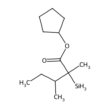 CCC(C)C(C)([SiH3])C(=O)OC1CCCC1